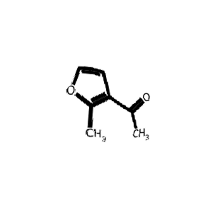 CC(=O)c1ccoc1C